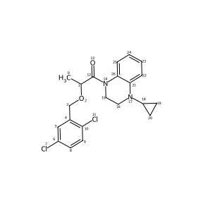 CC(OCc1cc(Cl)ccc1Cl)C(=O)N1CCN(C2CC2)c2ccccc21